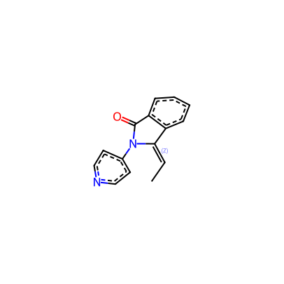 C/C=C1/c2ccccc2C(=O)N1c1ccncc1